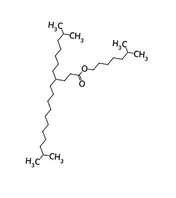 CC(C)CCCCCCCCCC(CCCCCC(C)C)CCC(=O)OCCCCCC(C)C